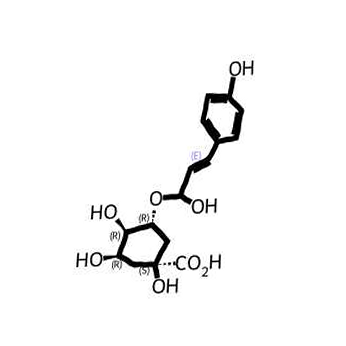 O=C(O)[C@]1(O)C[C@@H](O)[C@@H](O)[C@H](OC(O)/C=C/c2ccc(O)cc2)C1